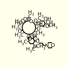 CC[C@H]1OC(=O)[C@H](C)[C@@H](O[C@H]2C[C@@](C)(OC)[C@@H](O)[C@H](C)O2)[C@H](C)[C@@H](O[C@@H]2O[C@H](C)C[C@H](N(C)C)[C@H]2OCCCN2CCOCC2)[C@@](C)(OC)C[C@@H](C)C(=O)[C@H](C)[C@@H](O)[C@]1(C)O